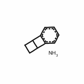 N.c1ccc2c(c1)C1CCC21